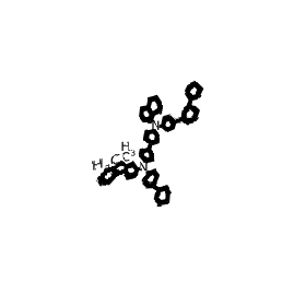 CC1(C)c2ccccc2-c2ccc(N(c3ccc(-c4ccccc4)cc3)c3ccc(-c4ccc(N(c5ccc(-c6cccc(-c7ccccc7)c6)cc5)c5cccc6ccccc56)cc4)cc3)cc21